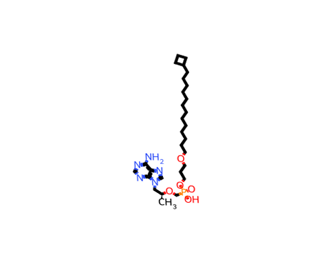 C[C@H](Cn1cnc2c(N)ncnc21)OCP(=O)(O)OCCCOCCCCCCCCCCCCCC1CCC1